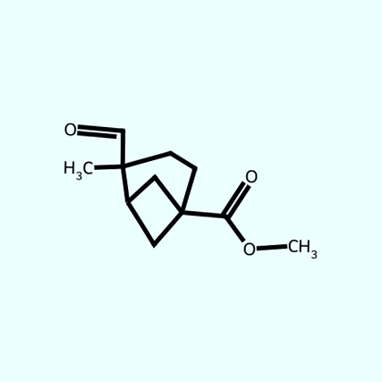 COC(=O)C12CCC(C)(C=O)C(C1)C2